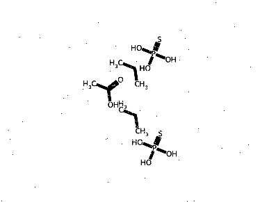 CC(=O)O.CCC.CCC.OP(O)(O)=S.OP(O)(O)=S